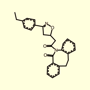 CCc1ccc(C2=NOC(CC(=O)N3C(=O)c4ccccc4CCc4ccccc43)C2)cc1